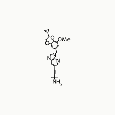 COc1cc(Cn2cnc3cc(C#CC(C)(C)N)cnc32)cc2c1OC(C1CC1)CO2